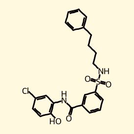 O=C(Nc1cc(Cl)ccc1O)c1cccc(S(=O)(=O)NCCCCc2ccccc2)c1